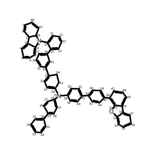 C1=CC2c3ccccc3N(c3ccccc3-c3cccc(C4=CC=C(N(c5ccc(-c6ccccc6)cc5)c5ccc(-c6ccc(-c7cccc8c7oc7ccccc78)cc6)cc5)CC4)c3)C2C=C1